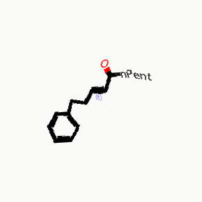 CCCCCC(=O)/C=C/CCc1ccccc1